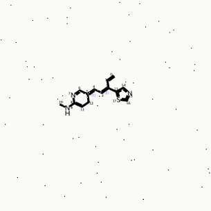 C=C/C(=C\C=C1\C=NC(NC)=CC1)c1cncs1